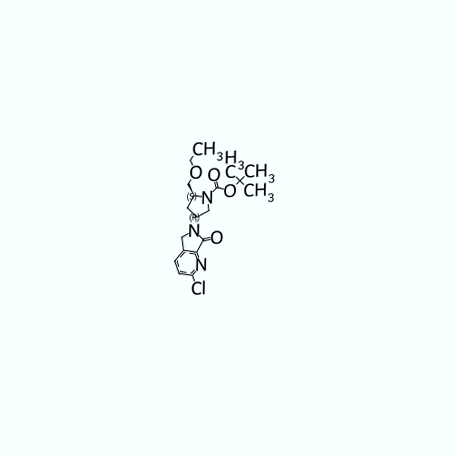 CCOC[C@@H]1C[C@@H](N2Cc3ccc(Cl)nc3C2=O)CN1C(=O)OC(C)(C)C